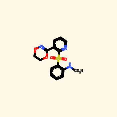 O=C(O)Nc1ccccc1S(=O)(=O)c1ncccc1C1=NOCCO1